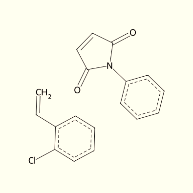 C=Cc1ccccc1Cl.O=C1C=CC(=O)N1c1ccccc1